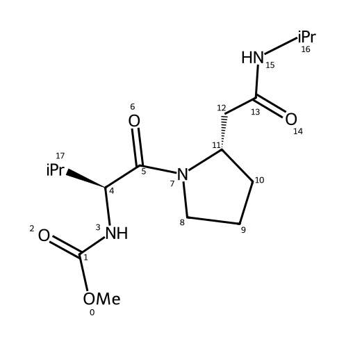 COC(=O)N[C@H](C(=O)N1CCC[C@H]1CC(=O)NC(C)C)C(C)C